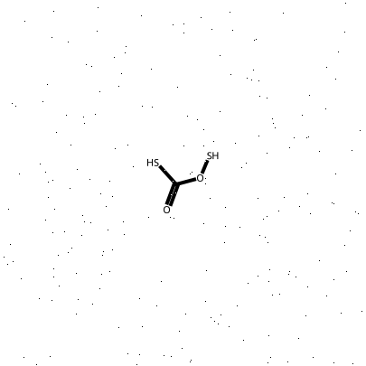 O=C(S)OS